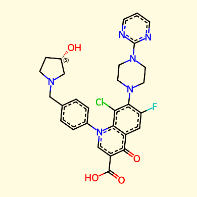 O=C(O)c1cn(-c2ccc(CN3CC[C@H](O)C3)cc2)c2c(Cl)c(N3CCN(c4ncccn4)CC3)c(F)cc2c1=O